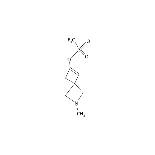 CN1CC2(C=C(OS(=O)(=O)C(F)(F)F)C2)C1